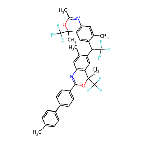 CC1=Nc2cc(C)c(C(c3cc4c(cc3C)N=C(c3ccc(-c5ccc(C)cc5)cc3)OC4(C)C(F)(F)F)C(F)(F)F)cc2C(C)(C(F)(F)F)O1